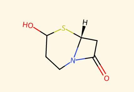 O=C1C[C@H]2SC(O)CCN12